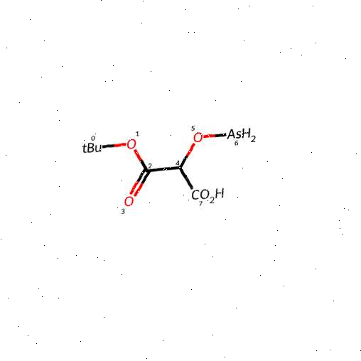 CC(C)(C)OC(=O)C(O[AsH2])C(=O)O